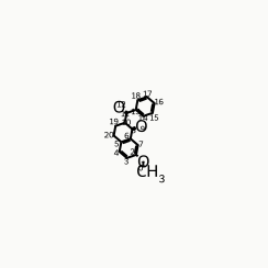 COc1ccc2c(c1)C(=O)C(C(=O)c1ccccc1)CC2